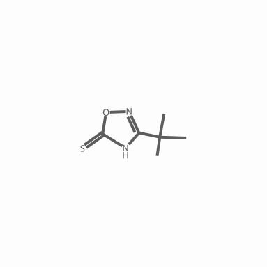 CC(C)(C)c1noc(=S)[nH]1